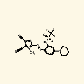 Cn1c(N=Nc2ccc(N3CCCCC3)cc2NS(=O)(=O)C(F)(F)F)nc(C#N)c1C#N